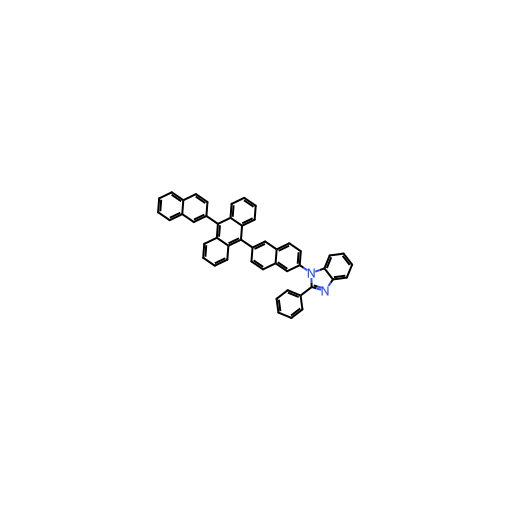 c1ccc(-c2nc3ccccc3n2-c2ccc3cc(-c4c5ccccc5c(-c5ccc6ccccc6c5)c5ccccc45)ccc3c2)cc1